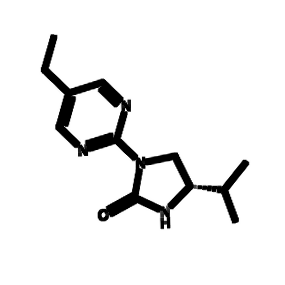 CCc1cnc(N2C[C@H](C(C)C)NC2=O)nc1